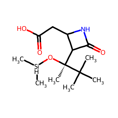 C[SiH](C)O[C@@](C)(C1C(=O)NC1CC(=O)O)C(C)(C)C